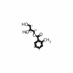 Cc1ccccc1C(=O)OCC(O)CO